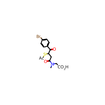 CC(=O)SC(CC(=O)N(C)CC(=O)O)C(=O)c1ccc(Br)cc1